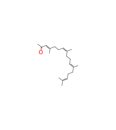 CC(=O)/C=C(\C)CC/C=C(/C)CC/C=C(\C)CCC=C(C)C